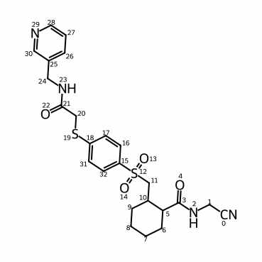 N#CCNC(=O)C1CCCCC1CS(=O)(=O)c1ccc(SCC(=O)NCc2cccnc2)cc1